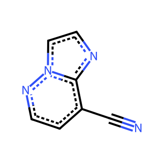 N#Cc1ccnn2ccnc12